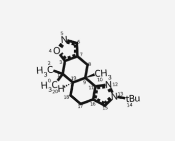 CC1(C)c2oncc2C[C@]2(C)c3nn(C(C)(C)C)cc3CC[C@@H]12